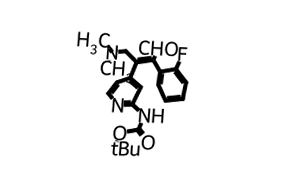 CN(C)CC(=C(C=O)c1ccccc1F)c1ccnc(NC(=O)OC(C)(C)C)c1